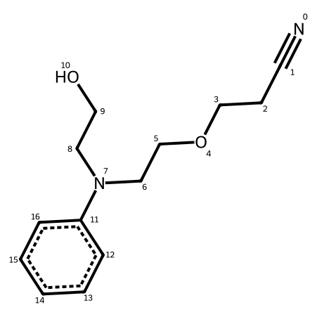 N#CCCOCCN(CCO)c1ccccc1